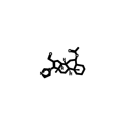 CC(=O)OC1C[C@@H]2[C@H](CC[C@]3(C)C(n4ccnc4)=C(C=O)C[C@@H]23)[C@@]2(C)CCCCC12